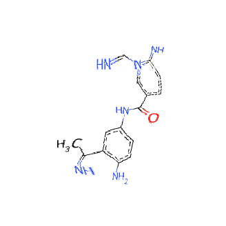 CC(=N)c1cc(NC(=O)c2ccc(=N)n(C=N)c2)ccc1N